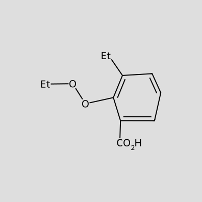 CCOOc1c(CC)cccc1C(=O)O